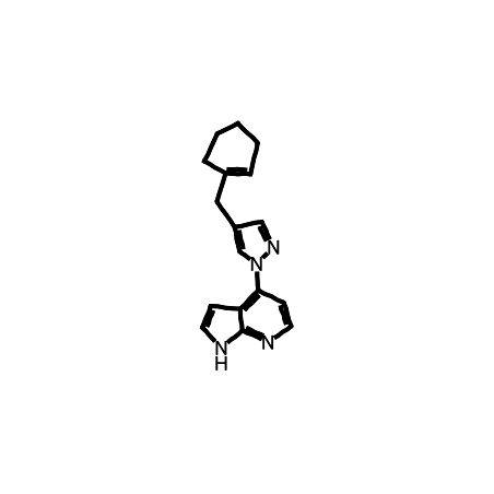 C1=C(Cc2cnn(-c3ccnc4[nH]ccc34)c2)CCCC1